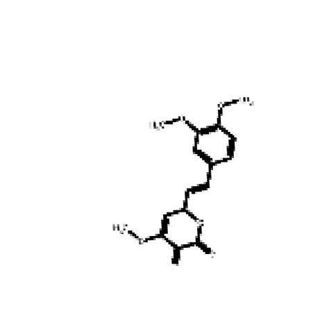 COC1=CC(C=Cc2ccc(OC)c(OC)c2)OC(=O)C1=O